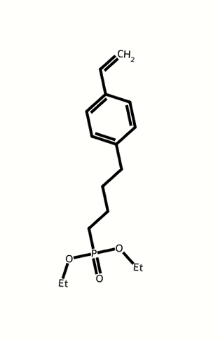 C=Cc1ccc(CCCCP(=O)(OCC)OCC)cc1